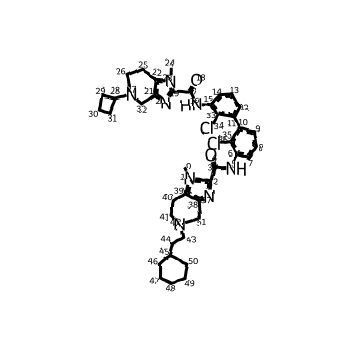 Cn1c(C(=O)Nc2cccc(-c3cccc(NC(=O)c4nc5c(n4C)CCN(C4CCC4)C5)c3Cl)c2Cl)nc2c1CCN(CCC1CCCCC1)C2